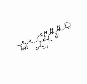 Cc1nnc(SCC2=C(C(=O)O)N3C(=O)C(NC(=O)NCc4ccco4)[C@H]3SC2)s1